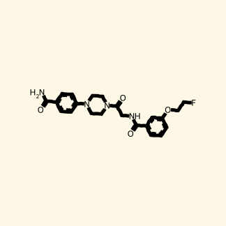 NC(=O)c1ccc(N2CCN(C(=O)CNC(=O)c3cccc(OCCF)c3)CC2)cc1